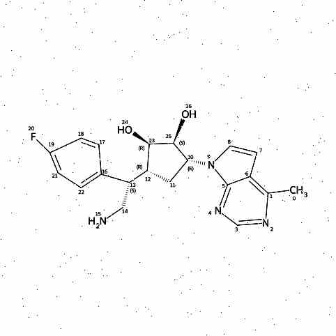 Cc1ncnc2c1ccn2[C@@H]1C[C@H]([C@H](CN)c2ccc(F)cc2)[C@@H](O)[C@H]1O